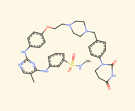 Cc1cnc(Nc2ccc(OCCN3CCN(Cc4ccc(N5CCC(=O)NC5=O)cc4)CC3)cc2)nc1Nc1cccc(S(=O)(=O)NC(C)(C)C)c1